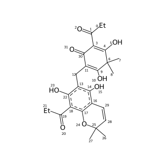 CCC(=O)C1=C(O)C(C)(C)C(O)=C(Cc2c(O)c3c(c(C(=O)CC)c2O)OC(C)(C)C=C3)C1=O